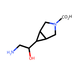 NCC(O)C1C2CN(C(=O)O)CC21